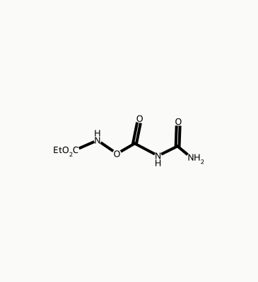 CCOC(=O)NOC(=O)NC(N)=O